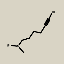 CC(C)N(C)CCCCC#CC(C)(C)C